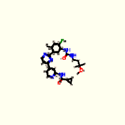 COC(C)(C)CCNC(=O)Nc1cc(-c2nccc(-c3ccnc(NC(=O)C4CC4)c3)n2)c(C)cc1F